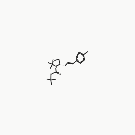 CC(C)(C)OC(=O)N1[C@@H](C/C=C/c2ccc(I)cc2)COC1(C)C